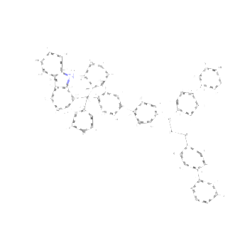 c1ccc(-c2ccc(CCC(c3ccc(-c4ccccc4)cc3)c3ccc(-c4ccc(C5(c6ccccc6)c6ccccc6-n6c7ccccc7c7cccc5c76)cc4)cc3)cc2)cc1